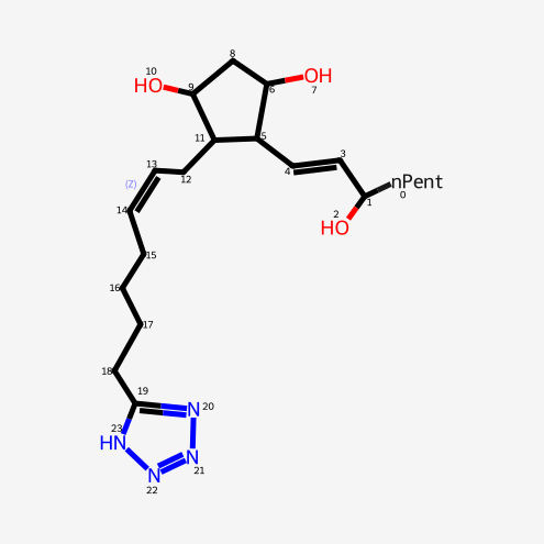 CCCCCC(O)C=CC1C(O)CC(O)C1C/C=C\CCCCc1nnn[nH]1